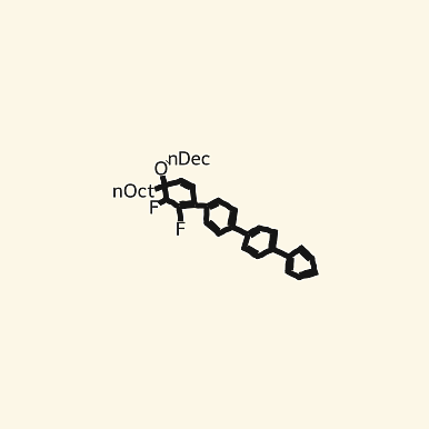 CCCCCCCCCCOC1(CCCCCCCC)C=CC(c2ccc(-c3ccc(-c4ccccc4)cc3)cc2)=C(F)C1F